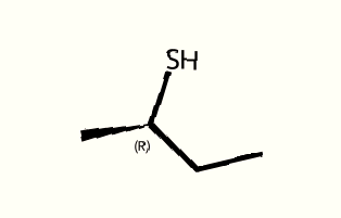 CC[C@@H](C)S